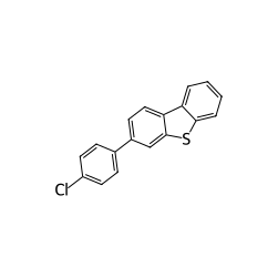 Clc1ccc(-c2ccc3c(c2)sc2ccccc23)cc1